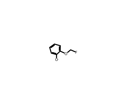 [O]c1ccccc1OCF